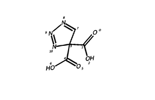 O=C(O)C1(C(=O)O)C=NN=N1